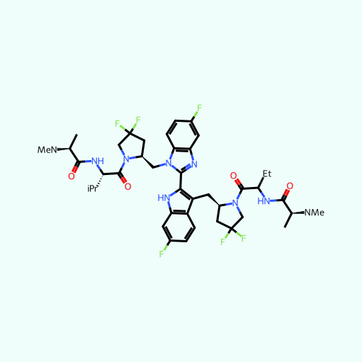 CCC(NC(=O)[C@H](C)NC)C(=O)N1CC(F)(F)C[C@H]1Cc1c(-c2nc3cc(F)ccc3n2C[C@@H]2CC(F)(F)CN2C(=O)[C@@H](NC(=O)[C@H](C)NC)C(C)C)[nH]c2cc(F)ccc12